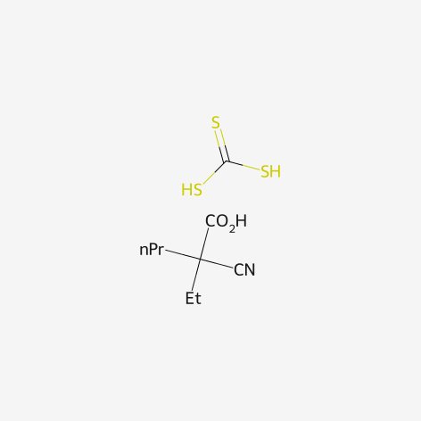 CCCC(C#N)(CC)C(=O)O.S=C(S)S